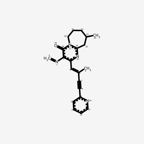 C=Nc1c(/C=C(\C)C#Cc2ccccn2)nc2n(c1=O)CCCC(C)C2